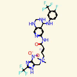 C[N+](C)(C/C=C/C(=O)Nc1cc2c(cn1)NCNC2Nc1ccc(F)c(C(F)(F)F)c1)Cc1[nH]c(C(F)(F)F)nc1[N+](=O)[O-]